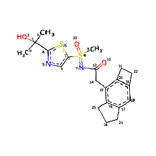 CC(C)(O)c1ncc(S(C)(=O)=NC(=O)Cc2c3c(cc4c2CC4)CCC3)s1